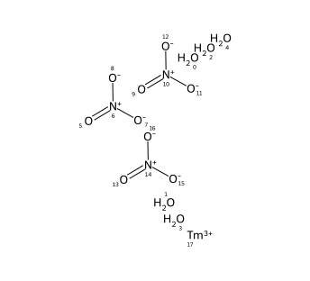 O.O.O.O.O.O=[N+]([O-])[O-].O=[N+]([O-])[O-].O=[N+]([O-])[O-].[Tm+3]